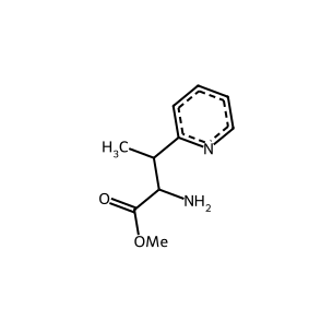 COC(=O)C(N)C(C)c1ccccn1